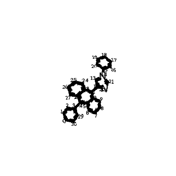 c1ccc(-c2c3ccccc3c(-c3cn(-c4ccccc4)cn3)c3ccccc23)cc1